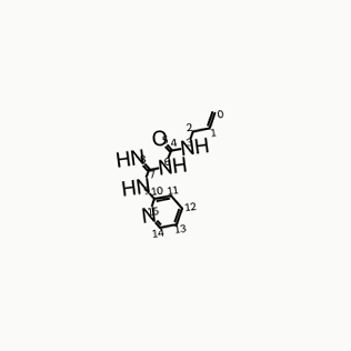 C=CCNC(=O)NC(=N)Nc1ccccn1